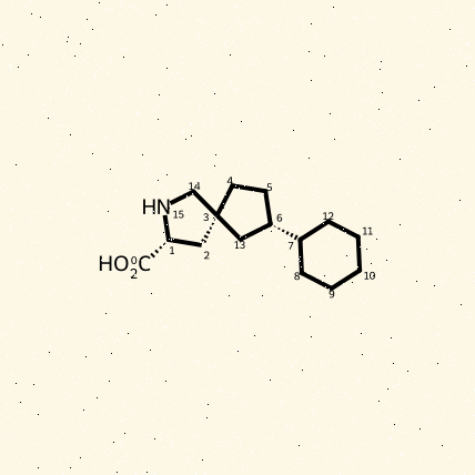 O=C(O)[C@H]1C[C@@]2(CC[C@H](C3CCCCC3)C2)CN1